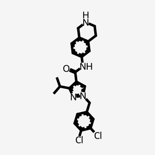 CC(C)c1nn(Cc2ccc(Cl)c(Cl)c2)cc1C(=O)Nc1ccc2c(c1)CCNC2